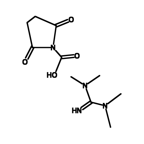 CN(C)C(=N)N(C)C.O=C(O)N1C(=O)CCC1=O